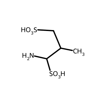 CC(CS(=O)(=O)O)C(N)S(=O)(=O)O